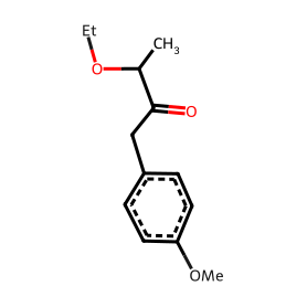 CCOC(C)C(=O)Cc1ccc(OC)cc1